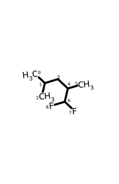 CC(C)CC(C)C(F)F